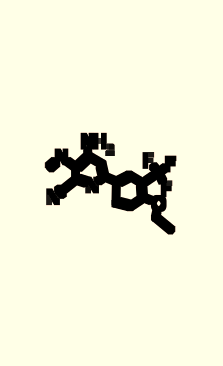 C=Nc1c(N)cc(-c2ccc(OCC)c(C(F)(F)F)c2)nc1C#N